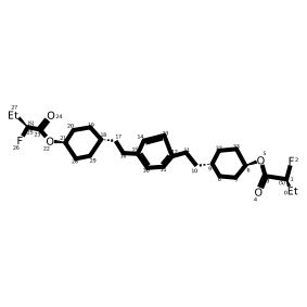 CC[C@H](F)C(=O)O[C@H]1CC[C@H](CCc2ccc(CC[C@H]3CC[C@H](OC(=O)[C@@H](F)CC)CC3)cc2)CC1